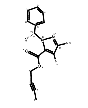 CC#CCOC(=O)c1c(F)c(F)nn1[C@H](C)c1ccccc1